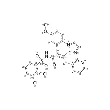 COc1ccc(-n2ccnc2[C@H](Cc2ccccc2)NC(=O)NS(=O)(=O)c2cccc(Cl)c2Cl)cc1